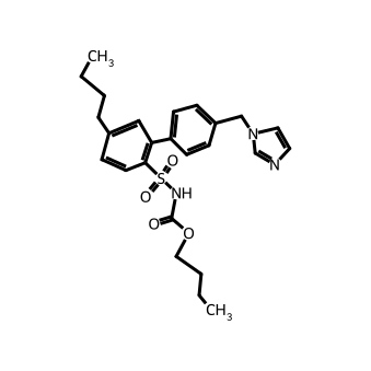 CCCCOC(=O)NS(=O)(=O)c1ccc(CCCC)cc1-c1ccc(Cn2ccnc2)cc1